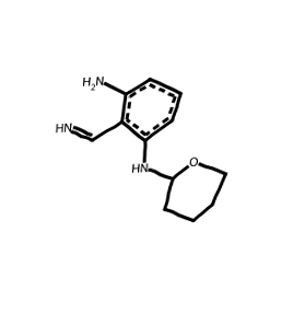 N=Cc1c(N)cccc1NC1CCCCO1